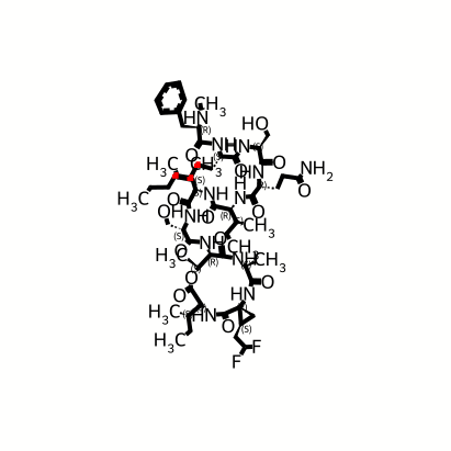 CCCCCCC[C@H](NC(=O)[C@@H](Cc1ccccc1)NC)C(=O)N[C@@H](CO)C(=O)N[C@H](CCC(N)=O)C(=O)N[C@@H](C(=O)N[C@H](C(=O)N[C@@H](CO)C(=O)N[C@H]1C(=O)N[C@@H](C)C(=O)N[C@@]2(C[C@H]2CC(F)F)C(=O)N[C@@H]([C@@H](C)CC)C(=O)O[C@H]1C)[C@@H](C)CC)[C@@H](C)CC